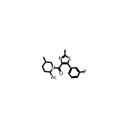 CC(=O)C1CCC(C)CN1C(=O)c1nc(C)sc1-c1cccc(F)c1